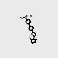 CCCCCCN(C(C)=O)c1ccc(-c2ccc(C3CCC(c4c(F)cccc4F)=N3)cc2)nn1